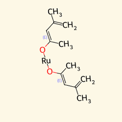 C=C(C)/C=C(\C)[O][Ru][O]/C(C)=C/C(=C)C